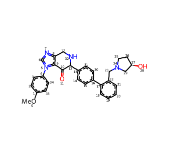 COc1ccc(-n2cnc3c2C(=O)C(c2ccc(-c4ccccc4CN4CC[C@@H](O)C4)cc2)NC3)cc1